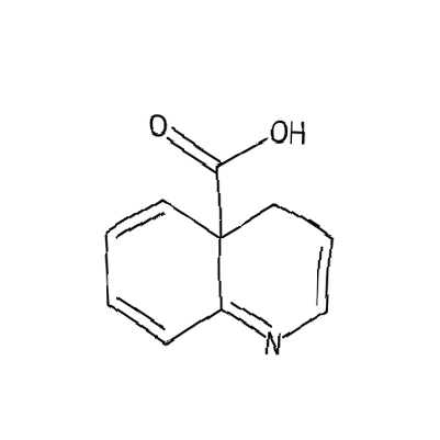 O=C(O)C12C=CC=CC1=NC=CC2